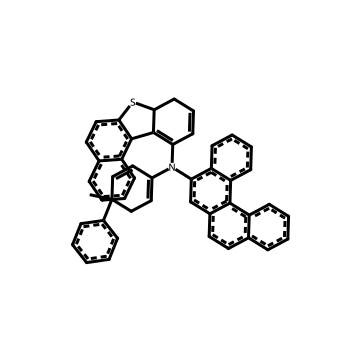 CC1(c2ccccc2)C=CC(N(C2=C3c4c(ccc5ccccc45)SC3CC=C2)c2cc3ccc4ccccc4c3c3ccccc23)=CC1